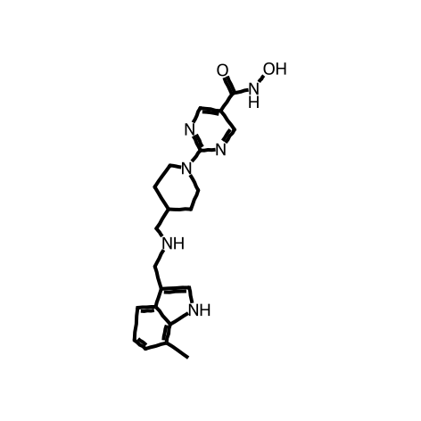 Cc1cccc2c(CNCC3CCN(c4ncc(C(=O)NO)cn4)CC3)c[nH]c12